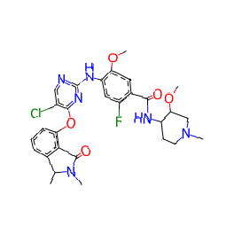 COc1cc(C(=O)NC2CCN(C)CC2OC)c(F)cc1Nc1ncc(Cl)c(Oc2cccc3c2C(=O)N(C)C3C)n1